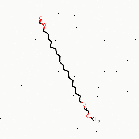 COCCOCCCCCCCCCCCCCCCCCCCOC=O